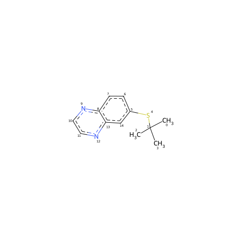 CC(C)(C)Sc1ccc2nccnc2c1